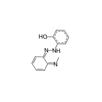 C/N=C1/C=CC=C/C1=N/Nc1ccccc1O